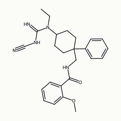 CCN(C(=N)NC#N)C1CCC(CNC(=O)c2ccccc2OC)(c2ccccc2)CC1